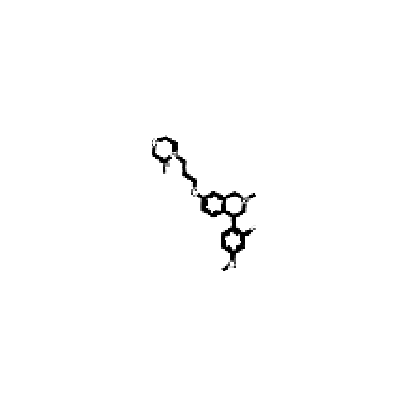 COc1ccc(C2CN(C)Cc3cc(OCCCN4CCOC[C@@H]4C)ccc32)c(F)c1